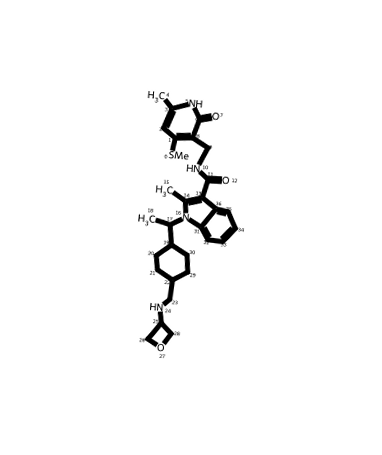 CSc1cc(C)[nH]c(=O)c1CNC(=O)c1c(C)n(C(C)C2CCC(CNC3COC3)CC2)c2ccccc12